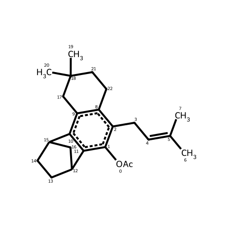 CC(=O)Oc1c(CC=C(C)C)c2c(c3c1C1CCC3C1)CC(C)(C)CC2